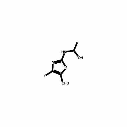 CC(O)Nc1nc(F)c(C=O)s1